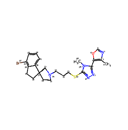 Cc1ncoc1-c1nnc(SCCCN2CCC3(CCc4c(Br)cccc43)C2)n1C